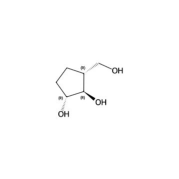 OC[C@H]1CC[C@@H](O)[C@@H]1O